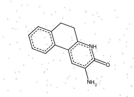 Nc1cc2c([nH]c1=O)CCc1ccccc1-2